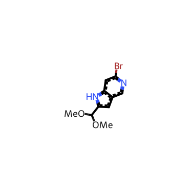 COC(OC)c1cc2cnc(Br)cc2[nH]1